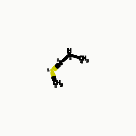 C=S=BBC